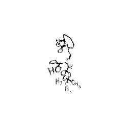 CC(C)(C)OC(=O)N[C@@H](C/C=C\CC1CCCCc2noc(=O)n21)C(=O)O